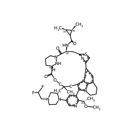 CO[C@@H](C)c1ncc(N2CCN(CC(F)F)CC2)cc1-c1c2c3cc(cc4c3n1CCC4)-c1csc(n1)C[C@H](NC(=O)C1[C@@H](C)[C@H]1C)C(=O)N1CCC[C@H](N1)C(=O)OCC(C)(C)C2